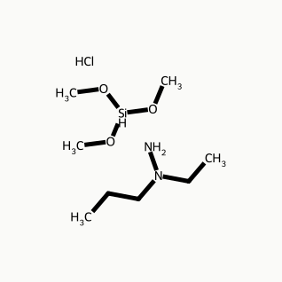 CCCN(N)CC.CO[SiH](OC)OC.Cl